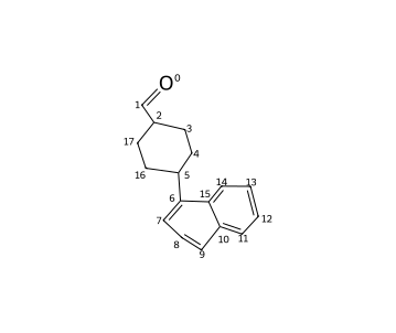 O=CC1CCC(c2cccc3ccccc23)CC1